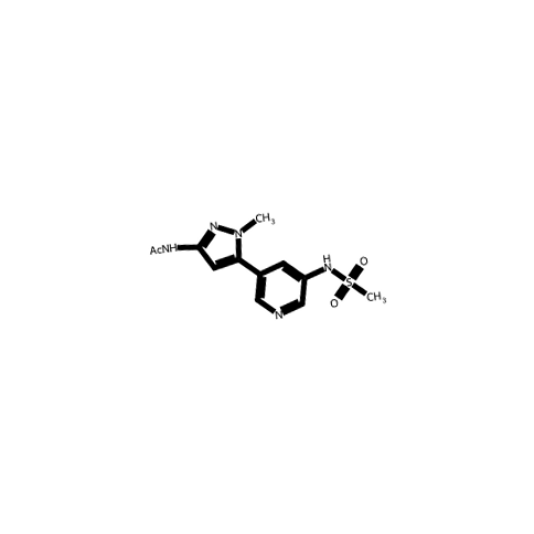 CC(=O)Nc1cc(-c2cncc(NS(C)(=O)=O)c2)n(C)n1